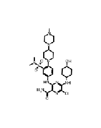 CCc1nc(C(N)=O)c(Nc2ccc(N3CCC(N4CCN(C)CC4)CC3)c(S(=O)(=O)N(C)C)c2)nc1N[C@H]1CC[C@H](O)CC1